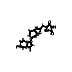 O=C1NC(=O)C(Cc2nc3ccc(-c4c[nH]c5cc(F)ccc45)cc3o2)N1